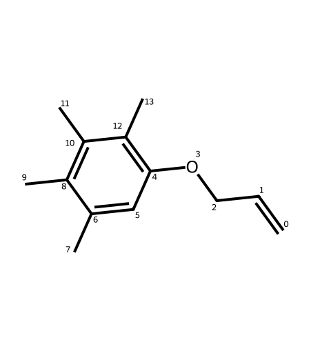 C=CCOc1cc(C)c(C)c(C)c1C